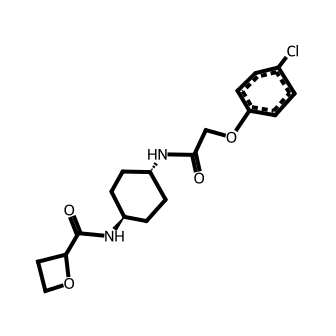 O=C(COc1ccc(Cl)cc1)N[C@H]1CC[C@H](NC(=O)C2CCO2)CC1